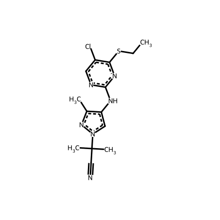 CCSc1nc(Nc2cn(C(C)(C)C#N)nc2C)ncc1Cl